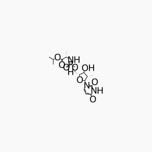 CC(C)OC(=O)[C@H](C)N[PH](=O)OC[C@H]1O[C@@H](n2ccc(=O)[nH]c2=O)[C@@H](C)[C@@H]1O